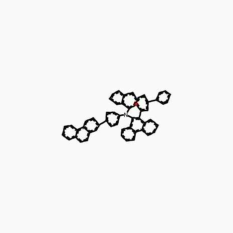 c1ccc(-c2cccc(-c3c(N(c4ccc(-c5ccc6c(ccc7ccccc76)c5)cc4)c4cccc5ccccc45)c4ccccc4c4ccccc34)c2)cc1